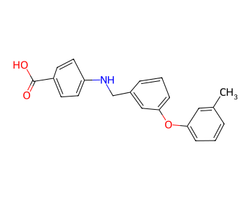 Cc1cccc(Oc2cccc(CNc3ccc(C(=O)O)cc3)c2)c1